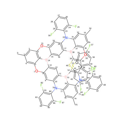 Cc1cc2c3c(c1)Oc1cc4c(cc1B3c1cc3c(cc1O2)N(c1c(F)cccc1F)c1cc(C)cc2c1B3c1sc3cc(F)cc(F)c3c1O2)B1c2sc3cc(F)cc(F)c3c2N(c2c(F)cccc2F)c2cc(C)cc(c21)N4c1c(F)cccc1F